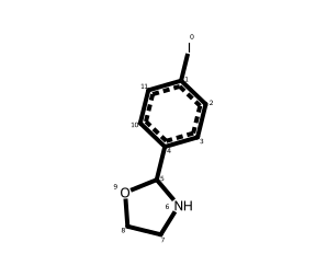 Ic1ccc(C2NCCO2)cc1